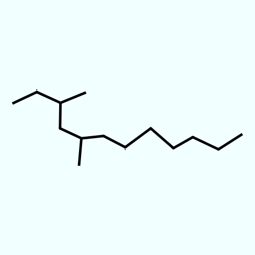 C[CH]C(C)CC(C)C[CH]CCCCC